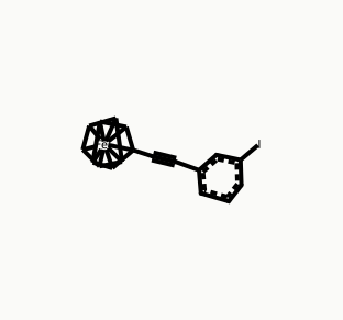 Ic1cccc(C#C[C]23[CH]4[CH]5[CH]6[CH]2[Fe]56432789[CH]3[CH]2[CH]7[CH]8[CH]39)c1